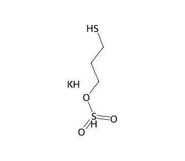 O=[SH](=O)OCCCS.[KH]